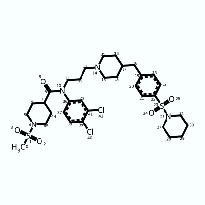 CS(=O)(=O)N1CCC(C(=O)N(CCCN2CCC(Cc3ccc(S(=O)(=O)N4CCCCC4)cc3)CC2)c2ccc(Cl)c(Cl)c2)CC1